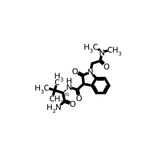 CN(C)C(=O)CN1C(=O)C(C(=O)N[C@H](C(N)=O)C(C)(C)C)c2ccccc21